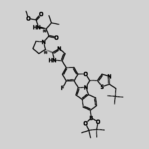 COC(=O)N[C@H](C(=O)N1CCC[C@H]1c1ncc(-c2cc(F)c3c(c2)OC(c2cnc(CC(C)(C)C)s2)n2c-3cc3cc(B4OC(C)(C)C(C)(C)O4)ccc32)[nH]1)C(C)C